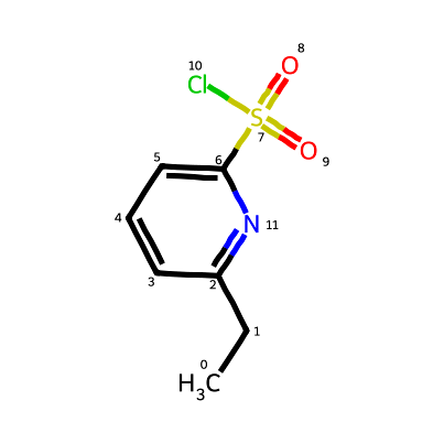 CCc1cccc(S(=O)(=O)Cl)n1